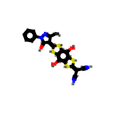 CC1=NN(c2ccccc2)C(=O)C1=C1Sc2c(O)c3c(c(O)c2S1)SC(=C(C#N)C#N)S3